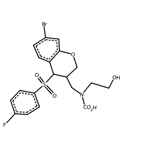 O=C(O)N(CCO)CC1COc2cc(Br)ccc2C1S(=O)(=O)c1ccc(F)cc1